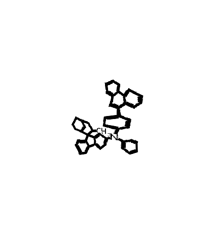 CC1CC2CCCC(C2)C12c1ccccc1-c1ccc(N(c3ccccc3)c3ccc(-c4cc5ccccc5c5ccccc45)cc3)cc12